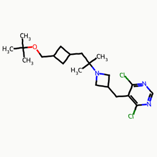 CC(C)(C)OCC1CC(CC(C)(C)N2CC(Cc3c(Cl)ncnc3Cl)C2)C1